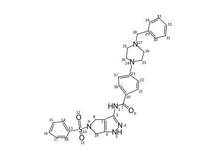 O=C(Nc1n[nH]c2c1CN(S(=O)(=O)c1ccccc1)C2)c1ccc(N2CCN(Cc3ccccc3)CC2)cc1